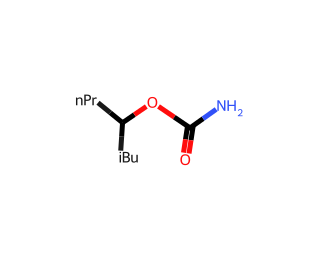 CCCC(OC(N)=O)C(C)CC